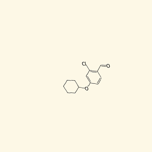 O=Cc1ccc(OC2CCCCC2)cc1Cl